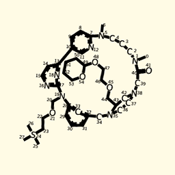 CN1CCCN(C)c2ccc(cn2)-c2ccnc(n2)N(COCCS(C)(C)C)c2cccc(c2)CN2CCN(CC1=O)CC2COCCOC1CCCCO1